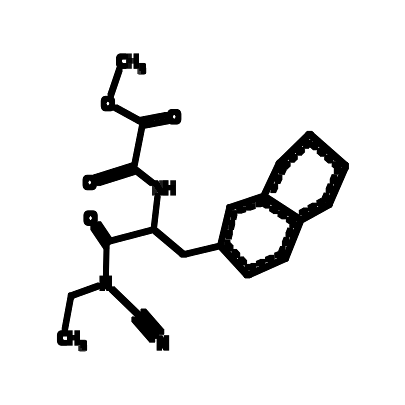 CCN(C#N)C(=O)C(Cc1ccc2ccccc2c1)NC(=O)C(=O)OC